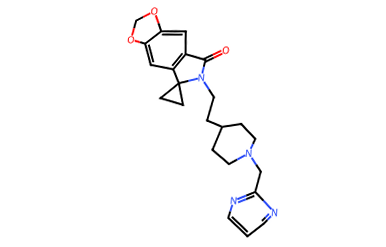 O=C1c2cc3c(cc2C2(CC2)N1CCC1CCN(Cc2ncccn2)CC1)OCO3